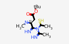 C=N[C@@H](CC(=O)OC(C)(C)C)C(=N)N(C(C)=N)C(C)S